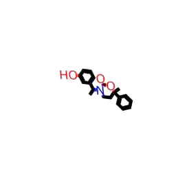 CC(c1cccc(O)c1)N1CCC(C)(c2ccccc2)OC1=O